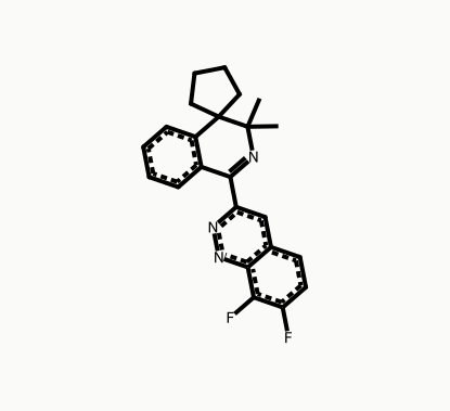 CC1(C)N=C(c2cc3ccc(F)c(F)c3nn2)c2ccccc2C12CCCC2